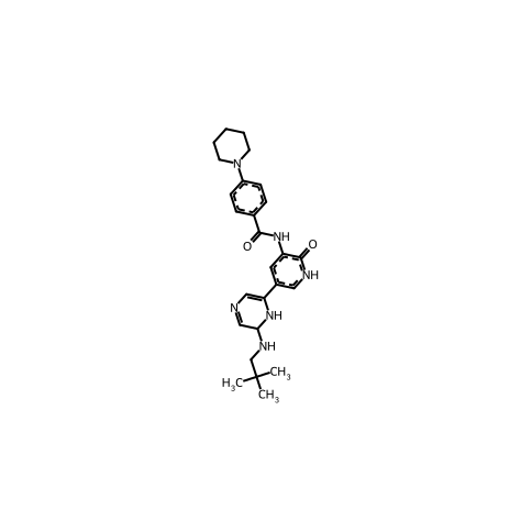 CC(C)(C)CNC1C=NC=C(c2c[nH]c(=O)c(NC(=O)c3ccc(N4CCCCC4)cc3)c2)N1